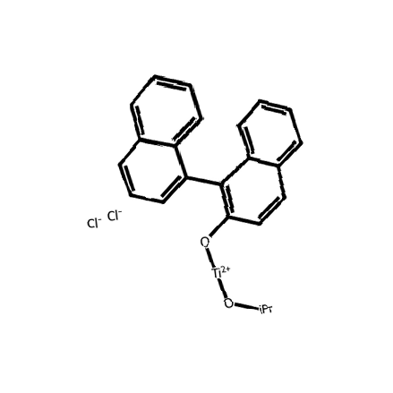 CC(C)[O][Ti+2][O]c1ccc2ccccc2c1-c1cccc2ccccc12.[Cl-].[Cl-]